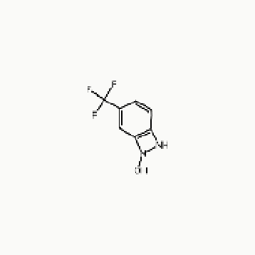 On1[nH]c2ccc(C(F)(F)F)cc21